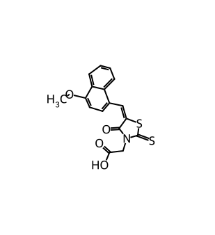 COc1ccc(C=C2SC(=S)N(CC(=O)O)C2=O)c2ccccc12